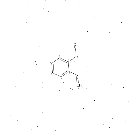 [CH]=Cc1ccccc1CF